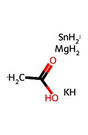 [CH2]C(=O)O.[KH].[MgH2].[SnH2]